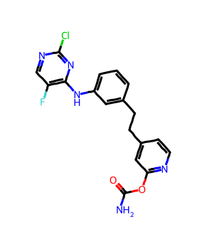 NC(=O)Oc1cc(CCc2cccc(Nc3nc(Cl)ncc3F)c2)ccn1